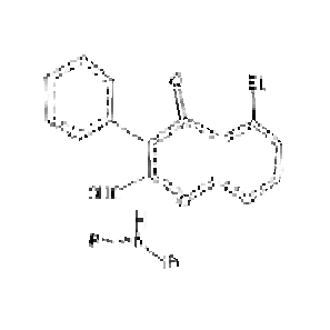 CC(C)NC(C)C.CCc1cccc2oc(C=O)c(-c3ccccc3)c(=O)c12